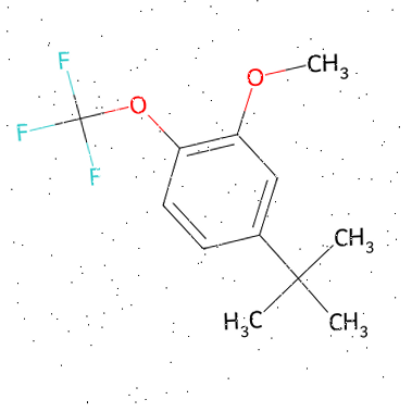 COc1cc(C(C)(C)C)ccc1OC(F)(F)F